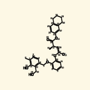 Cc1ncc(COc2ccccc2O[P+]([O-])=N[C@@H](C)C(=O)Oc2ccc3c(c2)CCCC3)c(CO)c1O